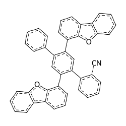 N#Cc1ccccc1-c1cc(-c2cccc3c2oc2ccccc23)c(-c2ccccc2)cc1-c1cccc2c1oc1ccccc12